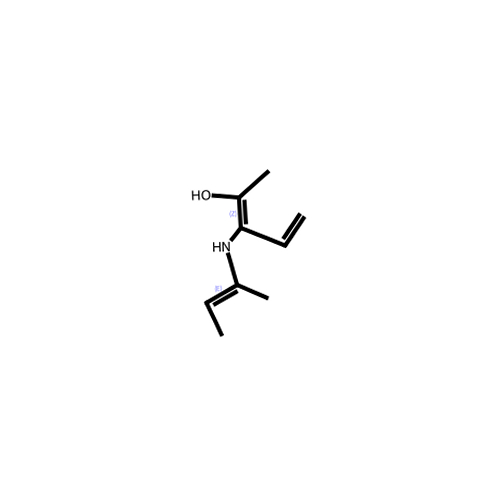 C=C/C(N/C(C)=C/C)=C(\C)O